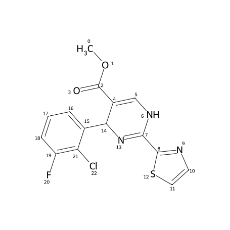 COC(=O)C1=CNC(c2nccs2)=NC1c1cccc(F)c1Cl